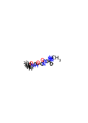 [2H]C([2H])([2H])C(C(=O)Nc1ccc2oc(-c3ccnc(C(=O)N4CCC([C@H](c5ccccc5)n5nnc(C)n5)CC4)c3)cc2c1)C([2H])([2H])[2H]